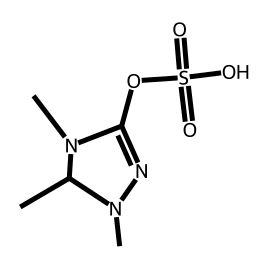 CC1N(C)N=C(OS(=O)(=O)O)N1C